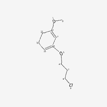 COC1=CC(OCCCCl)=CC[CH]1